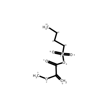 C=C(OC)C(=O)OS(=O)(=O)CCCC